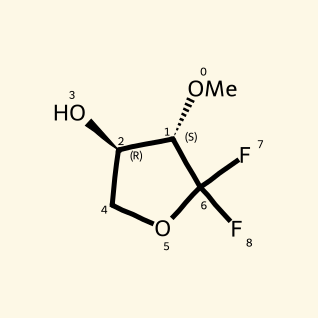 CO[C@H]1[C@H](O)COC1(F)F